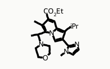 CCOC(=O)c1cc2c(C(C)C)c(-c3nccn3C)cn2c(C(C)N2CCOCC2)c1C